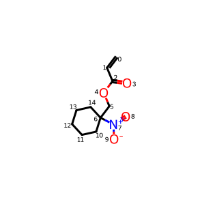 C=CC(=O)OCC1([N+](=O)[O-])CCCCC1